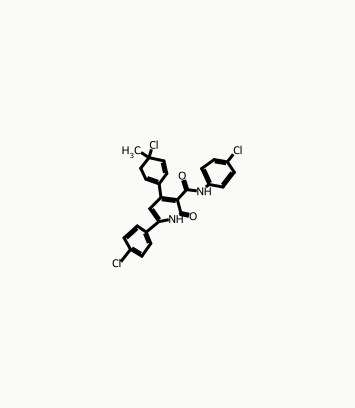 CC1(Cl)C=CC(c2cc(-c3ccc(Cl)cc3)[nH]c(=O)c2C(=O)Nc2ccc(Cl)cc2)=CC1